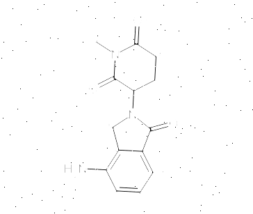 [CH2]N1C(=O)CCC(N2Cc3c(N)cccc3C2=O)C1=O